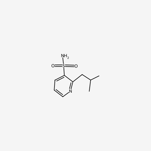 CC(C)Cc1ncccc1S(N)(=O)=O